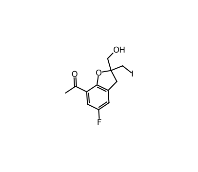 CC(=O)c1cc(F)cc2c1OC(CO)(CI)C2